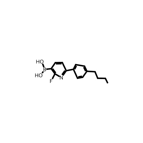 CCCCc1ccc(-c2ccc(B(O)O)c(F)n2)cc1